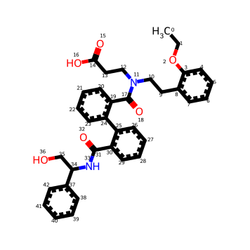 CCOc1ccccc1CCN(CCC(=O)O)C(=O)c1ccccc1-c1ccccc1C(=O)NC(CO)c1ccccc1